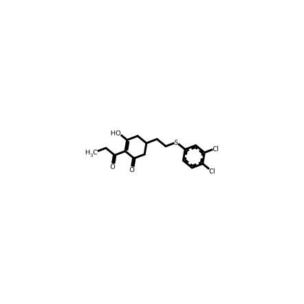 CCC(=O)C1=C(O)CC(CCSc2ccc(Cl)c(Cl)c2)CC1=O